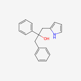 OC(Cc1ccccc1)(Cc1ccc[nH]1)c1ccccc1